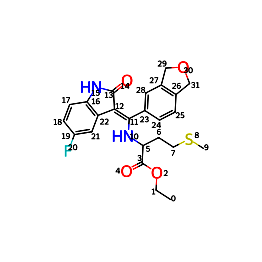 CCOC(=O)C(CCSC)NC(=C1C(=O)Nc2ccc(F)cc21)c1ccc2c(c1)COC2